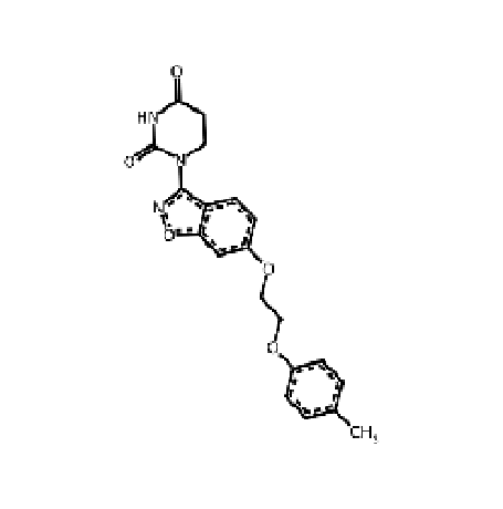 Cc1ccc(OCCOc2ccc3c(N4CCC(=O)NC4=O)noc3c2)cc1